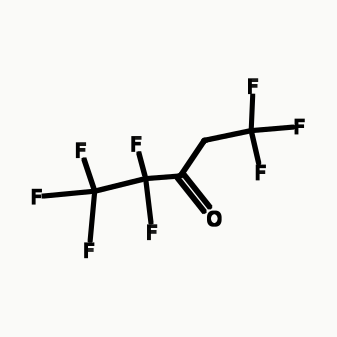 O=C(CC(F)(F)F)C(F)(F)C(F)(F)F